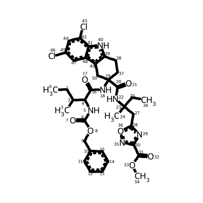 CCC(C)C(NC(=O)OCc1ccccc1)C(=O)NC1(C(=O)NC(C)(CC)Cc2nc(C(=O)OC)no2)CCc2[nH]c3c(Cl)cc(Cl)cc3c2C1